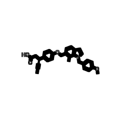 CC#C[C@@H](CC(=O)O)c1ccc(OCc2ccc3ccn(Cc4ccc(OC)cc4)c3c2C)cc1